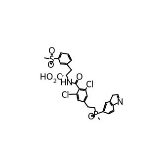 CP(=O)(CCc1cc(Cl)c(C(=O)N[C@@H](Cc2cccc(S(C)(=O)=O)c2)C(=O)O)c(Cl)c1)c1ccc2c(c1)CC=N2